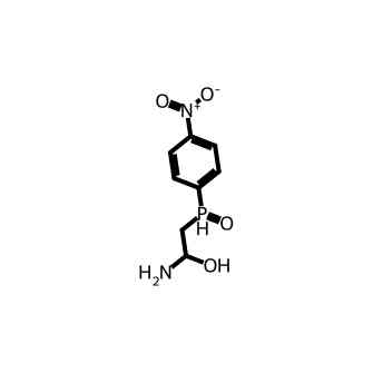 NC(O)C[PH](=O)c1ccc([N+](=O)[O-])cc1